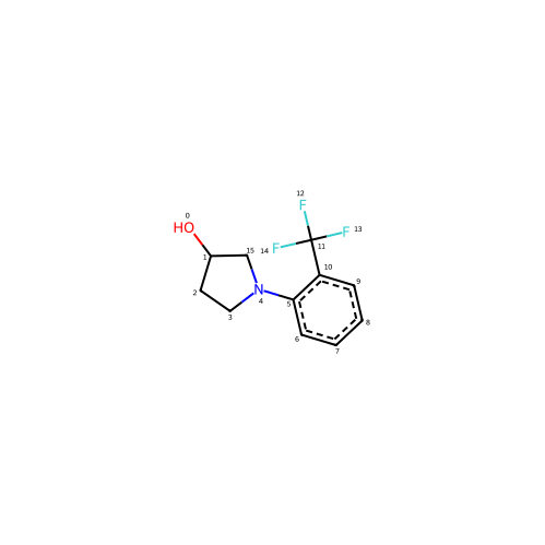 OC1CCN(c2ccccc2C(F)(F)F)C1